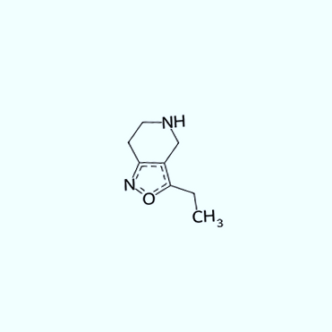 CCc1onc2c1CNCC2